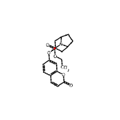 O=C(OCC(Cl)(Cl)Cl)N1C2CCC1CC(Oc1ccc3ccc(=O)oc3c1)C2